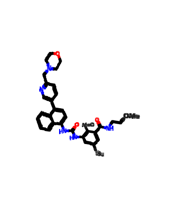 COCCNC(=O)c1cc(C(C)(C)C)cc(NC(=O)Nc2ccc(-c3ccc(CN4CCOCC4)nc3)c3ccccc23)c1OC